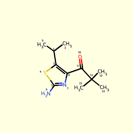 CC(C)c1sc(N)nc1C(=O)C(C)(C)C